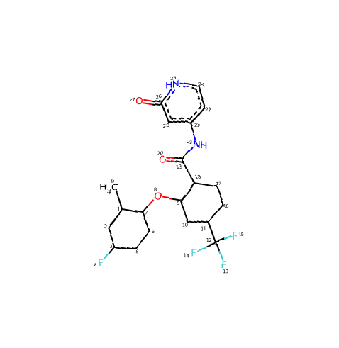 CC1CC(F)CCC1OC1CC(C(F)(F)F)CCC1C(=O)Nc1cc[nH]c(=O)c1